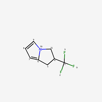 FC(F)(F)C1Cc2cccn2C1